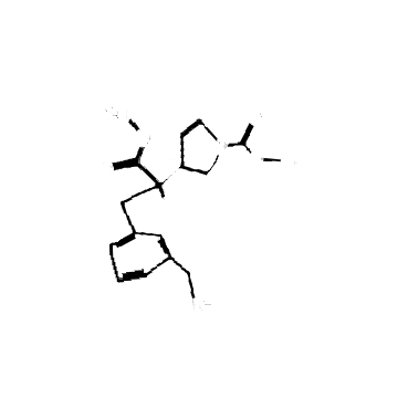 CC(C)(C)OC(=O)N1CC[C@H](C(F)(Cc2cccc(CN)c2)C(=O)OC(C)(C)C)C1